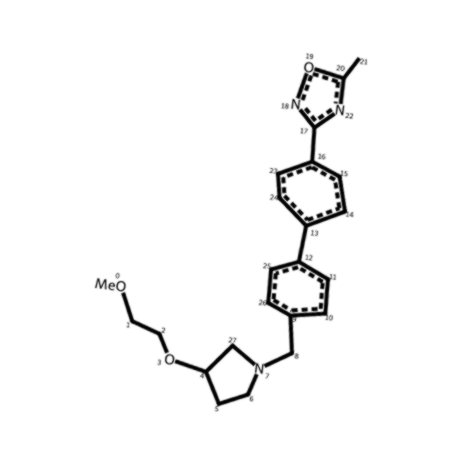 COCCOC1CCN(Cc2ccc(-c3ccc(-c4noc(C)n4)cc3)cc2)C1